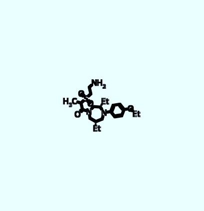 CCOc1ccc(N2C[C@H](CC)CN(C(=O)C(C)S(=O)(=O)CCN)C[C@@H]2CC)cc1